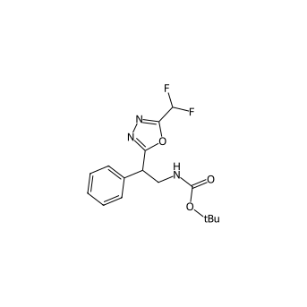 CC(C)(C)OC(=O)NCC(c1ccccc1)c1nnc(C(F)F)o1